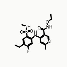 CCONC(=O)c1cnc(C)cc1Nc1cc(F)c(CC)cc1S(=O)(=O)NC